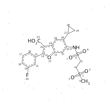 CS(=O)(=O)CCS(=O)(=O)Nc1cc2oc(-c3cccc(F)c3)c(C(=O)O)c2cc1C1CC1